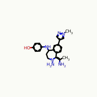 C/C(N)=C1\c2ccc(-c3cnn(C)c3)cc2C(Nc2ccc(O)cc2)CCN1N